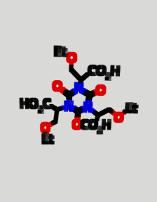 CCOCC(C(=O)O)n1c(=O)n(C(COCC)C(=O)O)c(=O)n(C(COCC)C(=O)O)c1=O